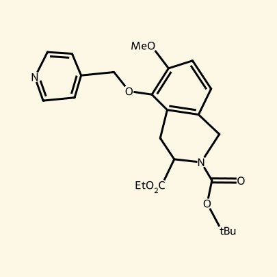 CCOC(=O)C1Cc2c(ccc(OC)c2OCc2ccncc2)CN1C(=O)OC(C)(C)C